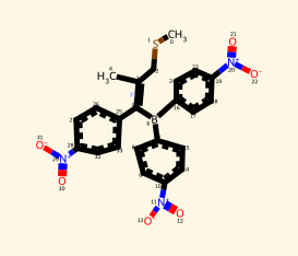 CSC/C(C)=C(\B(c1ccc([N+](=O)[O-])cc1)c1ccc([N+](=O)[O-])cc1)c1ccc([N+](=O)[O-])cc1